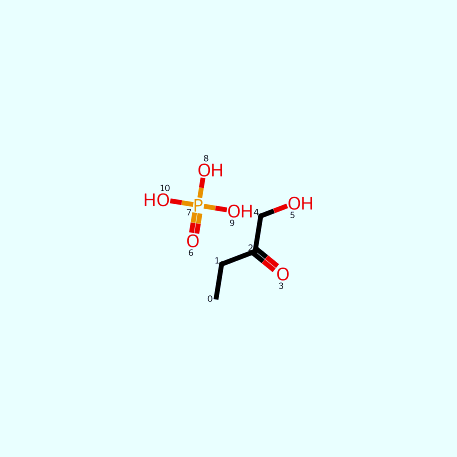 CCC(=O)CO.O=P(O)(O)O